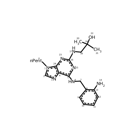 CCCCCn1cnc2c(NCc3ccccc3N)nc(NCC(C)(C)O)nc21